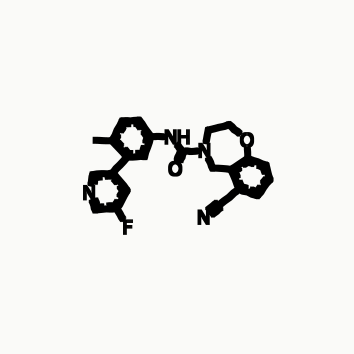 Cc1ccc(NC(=O)N2CCOc3cccc(C#N)c3C2)cc1-c1cncc(F)c1